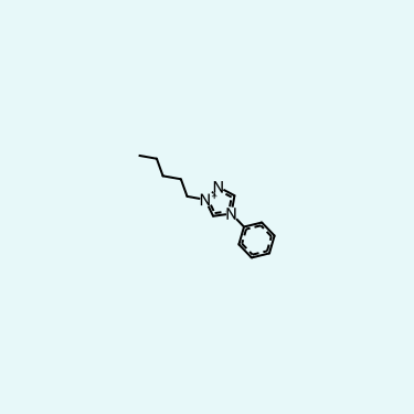 CCCCC[n+]1cn(-c2ccccc2)cn1